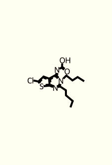 CCCCc1nc2sc(Cl)cc2c(=NC(=O)O)n1CCCC